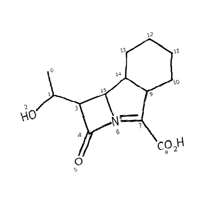 CC(O)C1C(=O)[N+]2=C(C(=O)O)C3CCCCC3C12